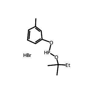 Br.CCC(C)(C)OPOc1cccc(C)c1